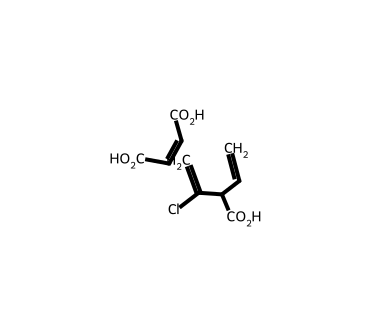 C=CC(C(=C)Cl)C(=O)O.O=C(O)/C=C\C(=O)O